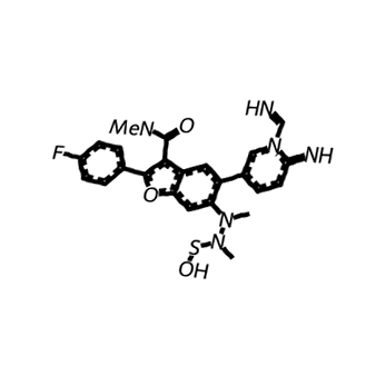 CNC(=O)c1c(-c2ccc(F)cc2)oc2cc(N(C)N(C)SO)c(-c3ccc(=N)n(C=N)c3)cc12